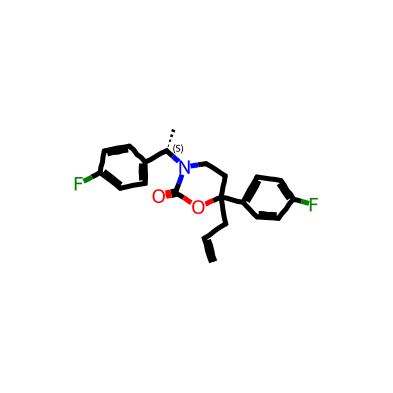 C=CCC1(c2ccc(F)cc2)CCN([C@@H](C)c2ccc(F)cc2)C(=O)O1